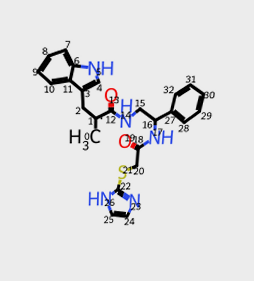 C[C](Cc1c[nH]c2ccccc12)C(=O)NCC(NC(=O)CSc1ncc[nH]1)c1ccccc1